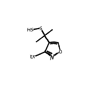 CCc1nocc1C(C)(C)SS